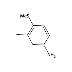 CSc1ccc(N)cc1C